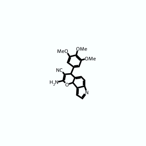 COc1cc(C2C3=CC=C4N=CC=C4C3OC(N)=C2C#N)cc(OC)c1OC